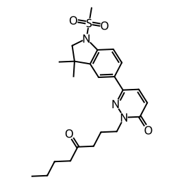 CCCCC(=O)CCCn1nc(-c2ccc3c(c2)C(C)(C)CN3S(C)(=O)=O)ccc1=O